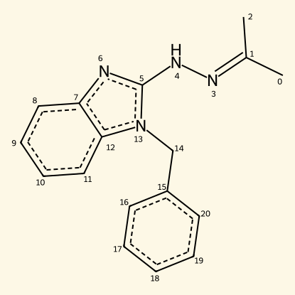 CC(C)=NNc1nc2ccccc2n1Cc1ccccc1